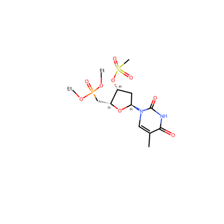 CCOP(=O)(C[C@H]1O[C@H](n2cc(C)c(=O)[nH]c2=O)C[C@H]1OS(C)(=O)=O)OCC